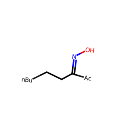 CCCCCC/C(=N/O)C(C)=O